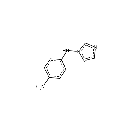 O=[N+]([O-])c1ccc(Nn2cncn2)cc1